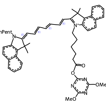 CCCCCN1/C(=C/C=C/C=C/C=C/C2=[N+](CCCCCC(=O)Oc3nc(OC)nc(OC)n3)c3ccc4ccccc4c3C2(C)C)C(C)(C)c2c1ccc1ccccc21